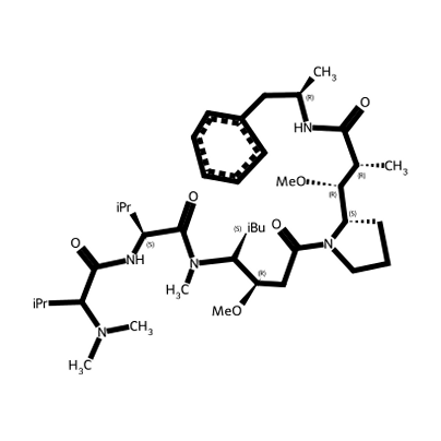 CC[C@H](C)C([C@@H](CC(=O)N1CCC[C@H]1[C@H](OC)[C@@H](C)C(=O)N[C@H](C)Cc1ccccc1)OC)N(C)C(=O)[C@@H](NC(=O)C(C(C)C)N(C)C)C(C)C